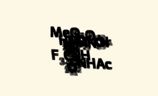 COc1cc(C(=O)NC2CCN(C)CC2)c(C)cc1Nc1ncc(C(F)(F)F)c(N[C@@H]2Cc3ccccc3[C@H]2NC(C)=O)n1